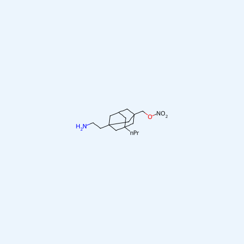 CCCC12CC3CC(CCN)(C1)CC(CO[N+](=O)[O-])(C3)C2